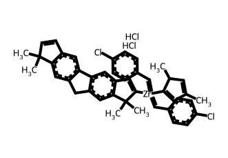 CC1=CC(C)[C]([Zr](=[CH]c2ccc(Cl)cc2)(=[CH]c2ccc(Cl)cc2)[C]2=Cc3cc4c(cc3C2(C)C)Cc2cc3c(cc2-4)C=CC3(C)C)=C1.Cl.Cl